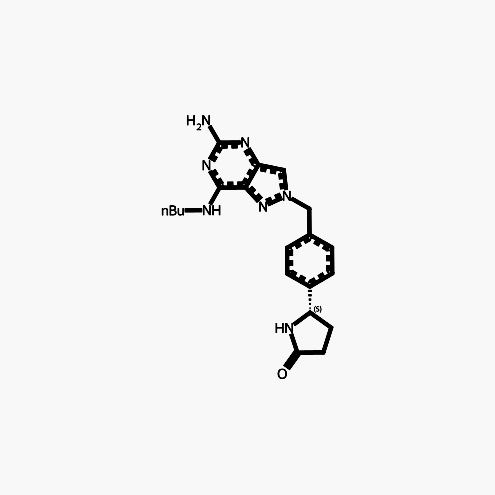 CCCCNc1nc(N)nc2cn(Cc3ccc([C@@H]4CCC(=O)N4)cc3)nc12